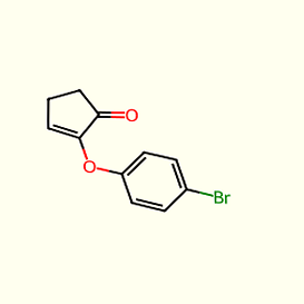 O=C1CCC=C1Oc1ccc(Br)cc1